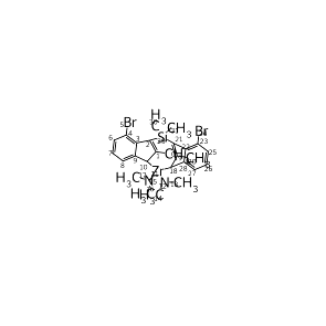 CC1=C2c3c(Br)cccc3[CH]1[Zr]([N](C)C)([N](C)C)[CH]1C(C)=C(c3c(Br)cccc31)[Si]2(C)C